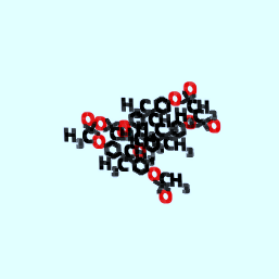 CC1(COc2ccc(C(C)(C)c3ccc(OCC4(C)COC4)c(Cc4cc(C(C)(C)c5ccc(OCC6(C)COC6)cc5)cc(Cc5cc(C(C)(C)c6ccc(OCC7(C)COC7)cc6)ccc5OCC5(C)COC5)c4OCC4(C)COC4)c3)cc2)COC1